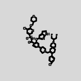 O=C(N[S+]([O-])c1cnc(OCC2CCOCC2)c(Cl)c1)c1ccc(N2CCN(CC3=C(c4ccc(Cl)cc4)CCC4(CCN(C(CF)CF)CC4)C3)CC2)cc1Oc1cnc2[nH]ccc2c1